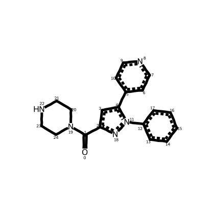 O=C(c1cc(-c2ccncc2)n(-c2ccccc2)n1)N1CCNCC1